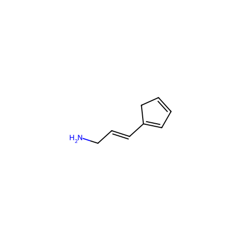 NCC=CC1=CC=CC1